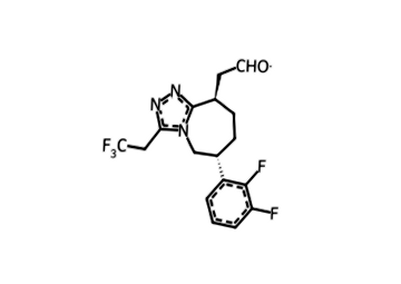 O=[C]C[C@H]1CC[C@H](c2cccc(F)c2F)Cn2c(CC(F)(F)F)nnc21